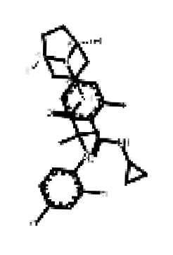 CC(C)(Oc1ccc(Cl)cc1Cl)C(=O)N[C@H]1C[C@H]2CC[C@@H](C1)N2c1ccc(C(=O)NC2CC2)c(F)c1